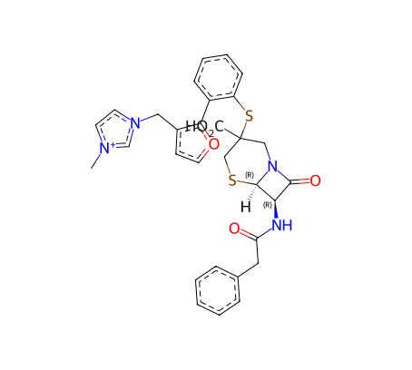 C[n+]1ccn(Cc2ccoc2-c2ccccc2SC2(C(=O)O)CS[C@@H]3[C@H](NC(=O)Cc4ccccc4)C(=O)N3C2)c1